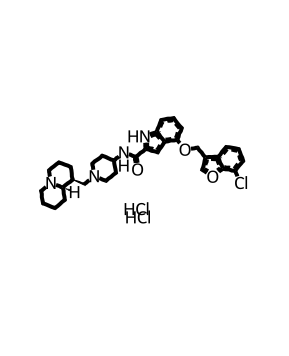 Cl.Cl.O=C(NC1CCN(C[C@@H]2CCCN3CCCC[C@H]23)CC1)c1cc2c(OCc3coc4c(Cl)cccc34)cccc2[nH]1